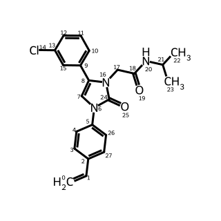 C=Cc1ccc(-n2cc(-c3cccc(Cl)c3)n(CC(=O)NC(C)C)c2=O)cc1